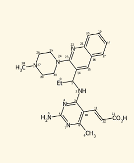 CCC(Nc1nc(N)nc(C)c1C=CC(=O)O)c1cc2ccccc2nc1N1CCN(C)CC1